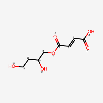 O=C(O)C=CC(=O)OCC(O)CCO